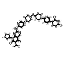 CC(=O)c1c(C)c2cnc(Nc3ccc(N4CCN(CC5CCN(c6ccc(C7CCC(=O)NC7=O)cn6)CC5)CC4)cn3)nc2n(C2CCCC2)c1=O